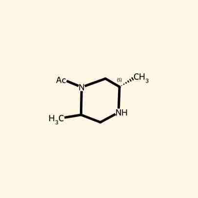 CC(=O)N1C[C@H](C)NCC1C